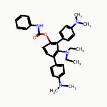 CCN(CC)c1c(-c2ccc(N(C)C)cc2)c[c]c(OC(=O)Nc2ccccc2)c1-c1ccc(N(C)C)cc1